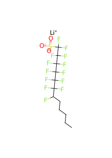 CCCCCC(F)C(F)(F)C(F)(F)C(F)(F)C(F)(F)C(F)(F)C(F)(F)S(=O)(=O)[O-].[Li+]